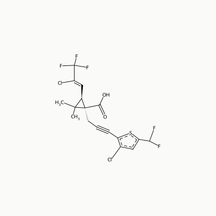 CC1(C)[C@@H](/C=C(\Cl)C(F)(F)F)[C@@]1(CC#Cc1sc(C(F)F)cc1Cl)C(=O)O